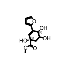 COC(=O)[C@]1(O)C=C(c2ccco2)[C@@H](O)C(O)C1